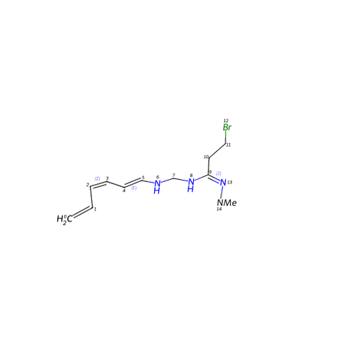 C=C/C=C\C=C\NCN/C(CCBr)=N\NC